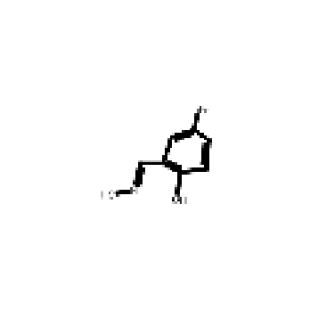 CC(C)c1ccc(O)c(/C=N/O)c1